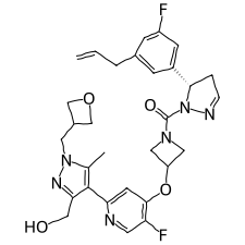 C=CCc1cc(F)cc([C@@H]2CC=NN2C(=O)N2CC(Oc3cc(-c4c(CO)nn(CC5COC5)c4C)ncc3F)C2)c1